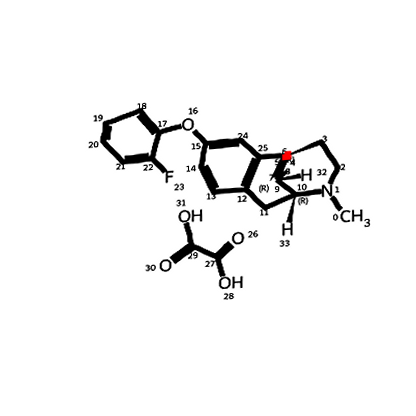 CN1CC[C@]23CCCC[C@H]2[C@H]1Cc1ccc(Oc2ccccc2F)cc13.O=C(O)C(=O)O